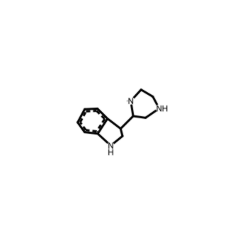 c1ccc2c(c1)NCC2C1CNCC[N]1